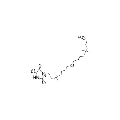 CCC1NC(=O)N(CCC(C)(C)CCCCOCCCCC(C)(C)CCCO)C1=O